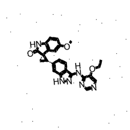 CCOc1cncnc1Nc1n[nH]c2cc([C@@H]3C[C@@]34C(=O)Nc3ccc(OC)cc34)ccc12